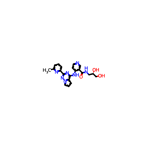 Cc1cccc(-c2nc(Nc3ccncc3C(=O)NC[C@H](O)CO)c3cccn3n2)n1